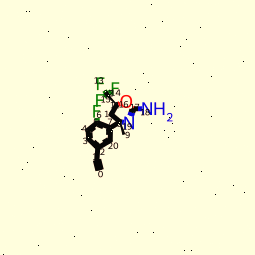 C#Cc1ccc(F)c([C@]2(C)C[C@@H](C(F)(F)F)OC(N)=N2)c1